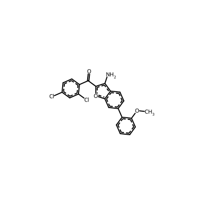 COc1ccccc1-c1ccc2c(N)c(C(=O)c3ccc(Cl)cc3Cl)oc2c1